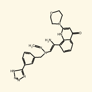 C=NN(/C=C(\N)c1cccc2c(=O)cc(N3CCOCC3)[nH]c12)Cc1cccc(-c2nnn[nH]2)c1